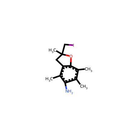 Cc1c(C)c2c(c(C)c1N)CC(C)(CI)O2